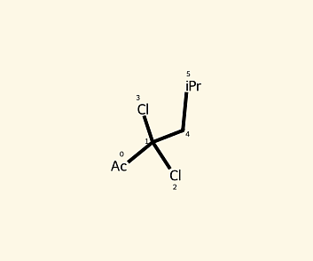 CC(=O)C(Cl)(Cl)CC(C)C